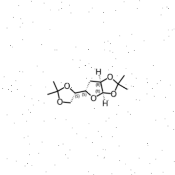 CC1(C)OC[C@@H]([C@@H]2C[C@H]3OC(C)(C)O[C@H]3O2)O1